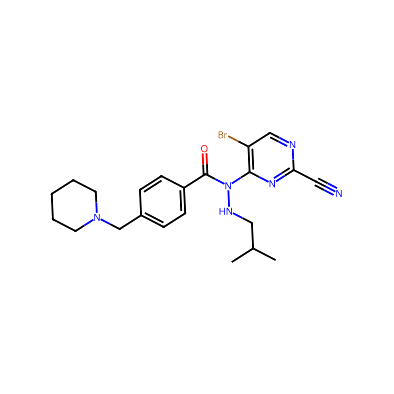 CC(C)CNN(C(=O)c1ccc(CN2CCCCC2)cc1)c1nc(C#N)ncc1Br